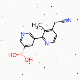 Cc1c(CC#N)ccnc1-c1cncc(B(O)O)c1